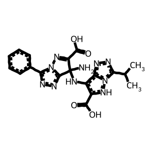 CC(C)c1nnc2c(NC3(N)C(C(=O)O)=Nn4c(-c5ccccc5)nnc43)c(C(=O)O)[nH]n12